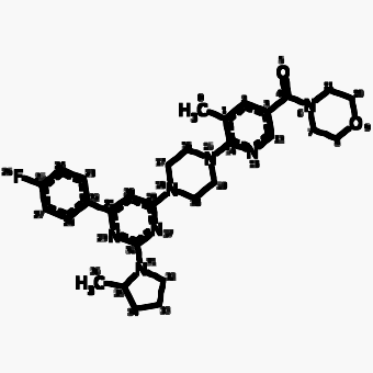 Cc1cc(C(=O)N2CCOCC2)cnc1N1CCN(c2cc(-c3ccc(F)cc3)nc(N3CCCC3C)n2)CC1